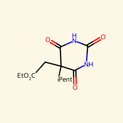 CCCC(C)C1(CC(=O)OCC)C(=O)NC(=O)NC1=O